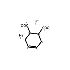 O=C([O-])C1CC=CCC1C(=O)[O-].[H+].[Na+]